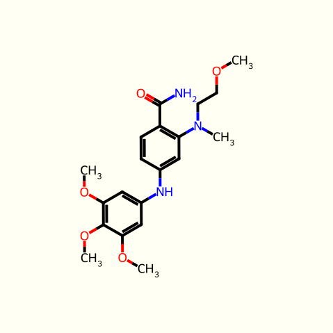 COCCN(C)c1cc(Nc2cc(OC)c(OC)c(OC)c2)ccc1C(N)=O